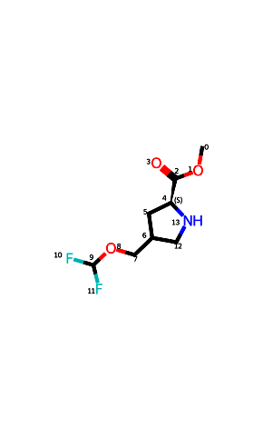 COC(=O)[C@@H]1CC(COC(F)F)CN1